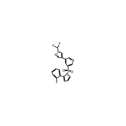 O=S(=O)(c1cncc(-c2cnn(C(F)F)c2)c1)n1c[c]cc1-c1ccccc1F